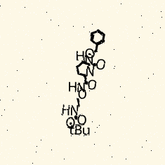 CC(C)(C)OC(=O)NCCONC(=O)C1CC[C@@H]2CN1C(=O)N2OCc1ccccc1